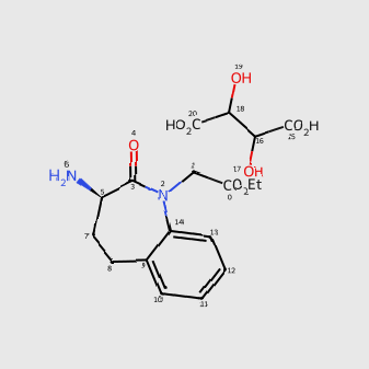 CCOC(=O)CN1C(=O)[C@H](N)CCc2ccccc21.O=C(O)C(O)C(O)C(=O)O